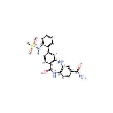 CN(c1ccccc1-c1ccc2c(c1)Nc1cc(C(N)=O)ccc1NC2=O)S(C)(=O)=O